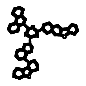 c1cc(-c2cccc3oc4ccccc4c23)c2ccc(-c3nc(-c4ccc5cc6c(cc5c4)oc4ccccc46)nc(-c4cc5ccccc5c5ccccc45)n3)cc2c1